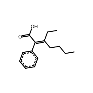 CCCCC(CC)=C(C(=O)O)c1ccccc1